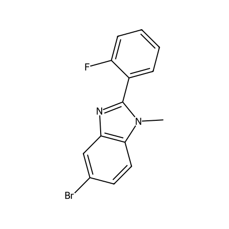 Cn1c(-c2ccccc2F)nc2cc(Br)ccc21